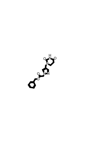 O=C1CCN(Cc2cnn(CC(=O)OCc3ccccc3)c2)C(=O)N1